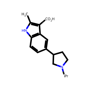 Cc1[nH]c2ccc(C3CCN(C(C)C)C3)cc2c1C(=O)O